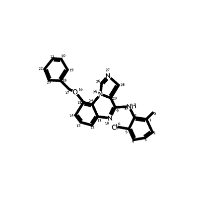 Cc1cccc(Cl)c1Nc1nc2cccc(OCc3ccccc3)c2n2cncc12